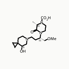 COC[C@H](CCN1CCC2(CC2)[C@H](O)C1)N1CCN(C(=O)O)[C@@H](C)C1=O